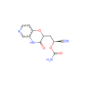 N#C[C@H](CC1Oc2ccncc2NC1=O)OC(N)=O